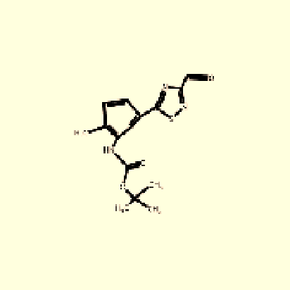 Cc1ccc(-c2nc(C=O)ns2)cc1NC(=O)OC(C)(C)C